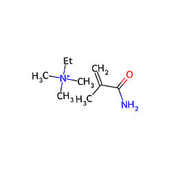 C=C(C)C(N)=O.CC[N+](C)(C)C